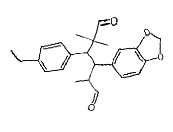 CCc1ccc(C(C(c2ccc3c(c2)OCO3)C(C)C=O)C(C)(C)C=O)cc1